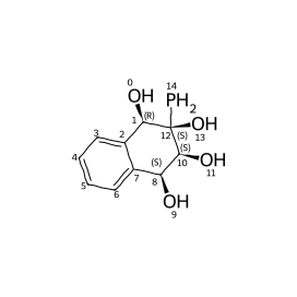 O[C@@H]1c2ccccc2[C@H](O)[C@H](O)[C@@]1(O)P